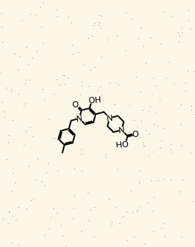 Cc1ccc(Cn2ccc(CN3CCN(C(=O)O)CC3)c(O)c2=O)cc1